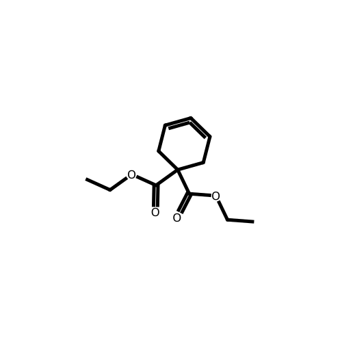 CCOC(=O)C1(C(=O)OCC)CC=C=CC1